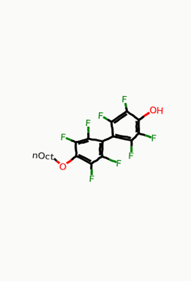 CCCCCCCCOc1c(F)c(F)c(-c2c(F)c(F)c(O)c(F)c2F)c(F)c1F